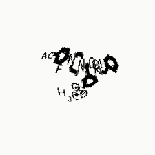 CC(=O)c1ccc(N2CCN(C(=O)c3cc(S(C)(=O)=O)ccc3N(O)Cc3ccccc3)CC2)c(F)c1